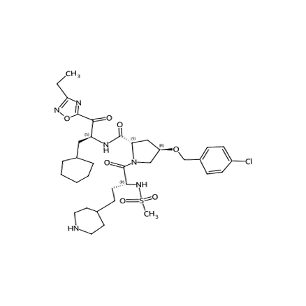 CCc1noc(C(=O)[C@H](CC2CCCCC2)NC(=O)[C@@H]2C[C@@H](OCc3ccc(Cl)cc3)CN2C(=O)[C@@H](CCC2CCNCC2)NS(C)(=O)=O)n1